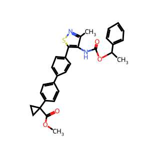 COC(=O)C1(c2ccc(-c3ccc(-c4snc(C)c4NC(=O)OC(C)c4ccccc4)cc3)cc2)CC1